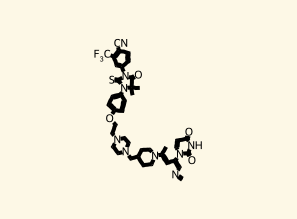 C=N/C=C(\C=C(/C)N1CCC(CN2CCN(CCOc3ccc(N4C(=S)N(c5ccc(C#N)c(C(F)(F)F)c5)C(=O)C4(C)C)cc3)CC2)CC1)n1ccc(=O)[nH]c1=O